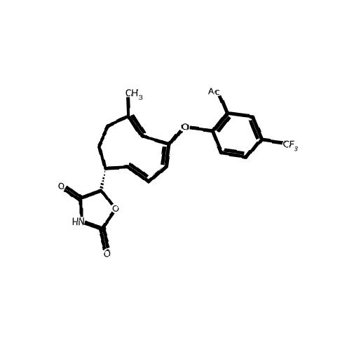 CC(=O)c1cc(C(F)(F)F)ccc1OC1=C/C=C/[C@H](C2OC(=O)NC2=O)CC\C(C)=C\1